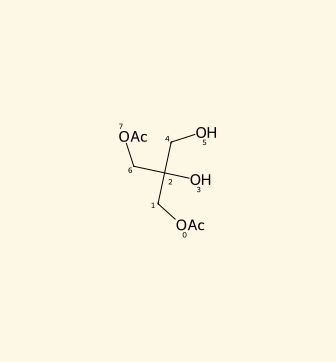 CC(=O)OCC(O)(CO)COC(C)=O